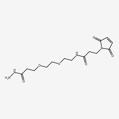 NNC(=O)CCOCCOCCNC(=O)CCN1C(=O)C=CC1=O